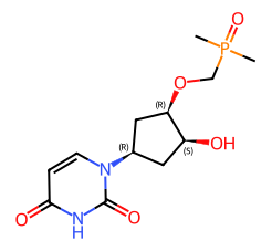 CP(C)(=O)CO[C@@H]1C[C@H](n2ccc(=O)[nH]c2=O)C[C@@H]1O